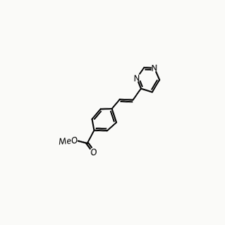 COC(=O)c1ccc(/C=C/c2ccncn2)cc1